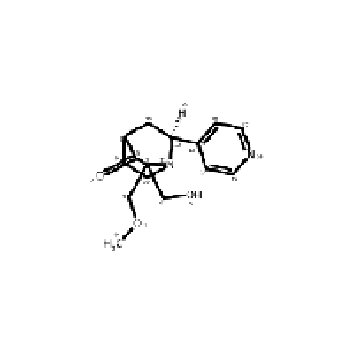 COCC1(CO)C(=O)C2CCN1[C@H](c1ccncc1)C2